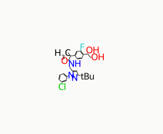 CC(C(=O)NCc1cc(C(C)(C)C)nn1-c1cccc(Cl)c1)c1ccc(C(O)CO)c(F)c1